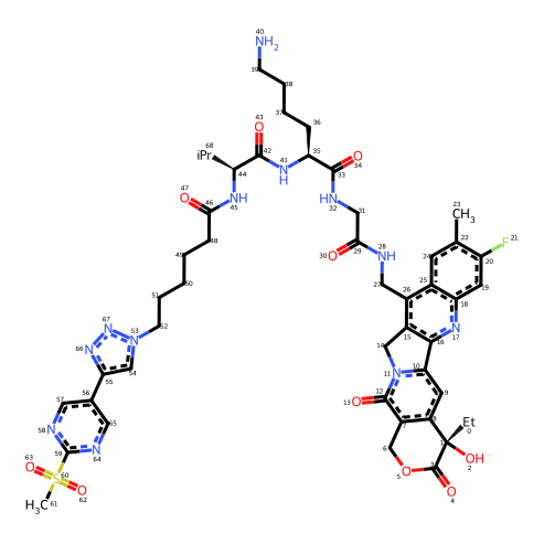 CC[C@@]1(O)C(=O)OCc2c1cc1n(c2=O)Cc2c-1nc1cc(F)c(C)cc1c2CNC(=O)CNC(=O)[C@H](CCCCN)NC(=O)[C@@H](NC(=O)CCCCCn1cc(-c2cnc(S(C)(=O)=O)nc2)nn1)C(C)C